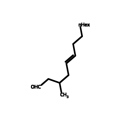 CCCCCCCCC=CCC(C)CC=O